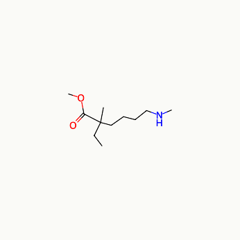 CCC(C)(CCCCNC)C(=O)OC